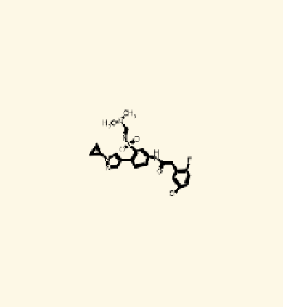 CN(C)/C=N/S(=O)(=O)c1cc(NC(=O)Cc2cc(Cl)ccc2F)ccc1-c1cnn(C2CC2)c1